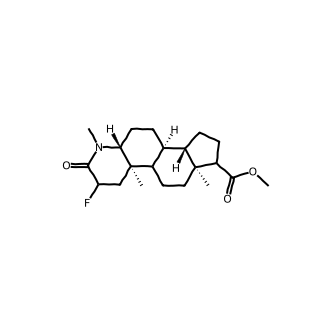 COC(=O)C1CC[C@H]2[C@@H]3CC[C@H]4N(C)C(=O)C(F)C[C@]4(C)C3CC[C@]12C